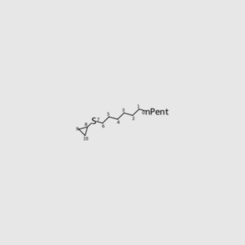 CCCCCCCCCCCSC1CC1